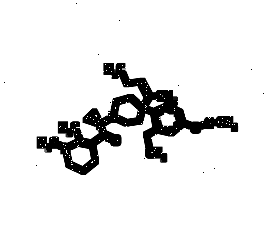 CC/C=C(/C)C1(c2c(F)cc(OCC)cc2CC)CCN(S2(C(=O)C3=C(C)N(C)CCC3)CC2)CC1